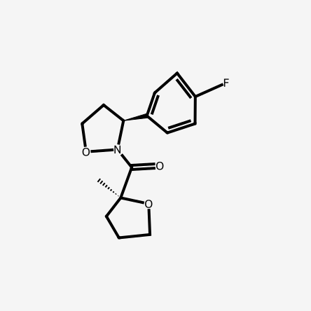 C[C@@]1(C(=O)N2OCC[C@H]2c2ccc(F)cc2)CCCO1